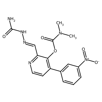 CN(C)C(=O)Oc1c(-c2cccc([N+](=O)[O-])c2)ccnc1C=NNC(N)=O